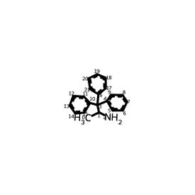 CC(N)C(c1ccccc1)(c1ccccc1)c1ccccc1